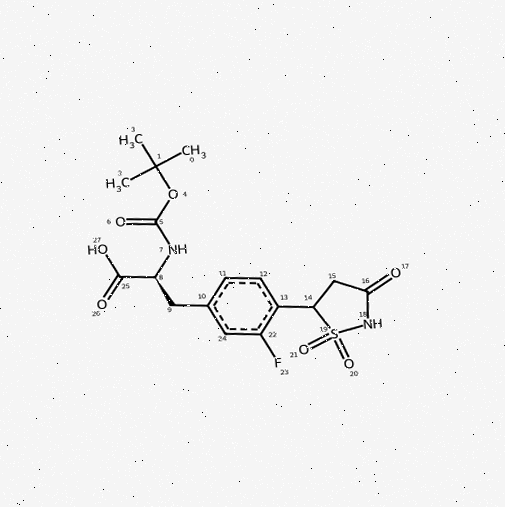 CC(C)(C)OC(=O)N[C@@H](Cc1ccc(C2CC(=O)NS2(=O)=O)c(F)c1)C(=O)O